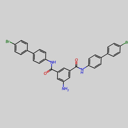 Nc1cc(C(=O)Nc2ccc(-c3ccc(Br)cc3)cc2)cc(C(=O)Nc2ccc(-c3ccc(Br)cc3)cc2)c1